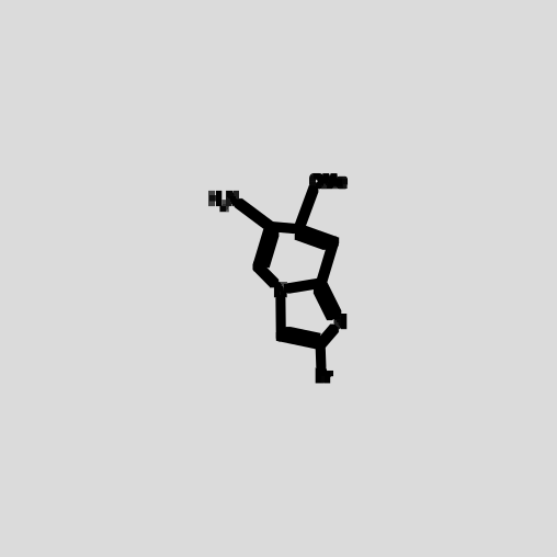 COc1cc2nc(Br)cn2cc1N